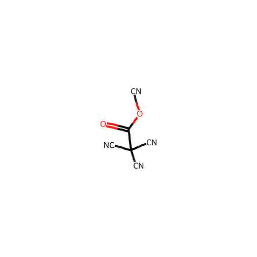 N#COC(=O)C(C#N)(C#N)C#N